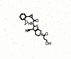 COc1ccccc1C1CC1C(=O)NC1SC2=C(CCN(C(=O)CCO)C2)C1C#N